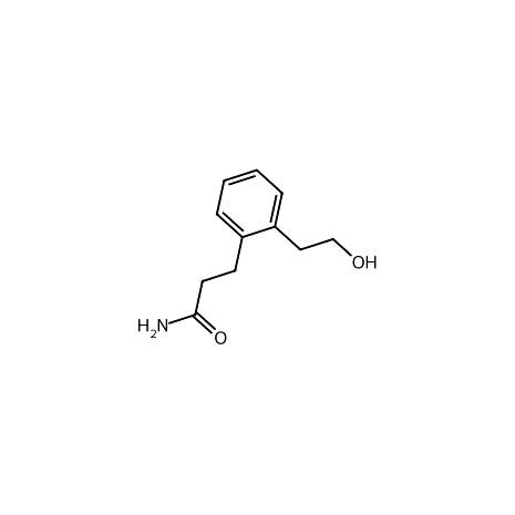 NC(=O)CCc1ccccc1CCO